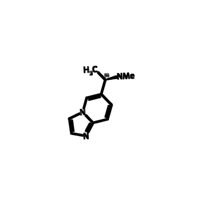 CN[C@H](C)c1ccc2nccn2c1